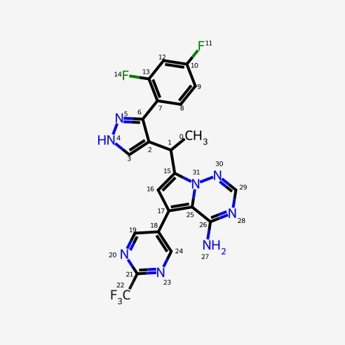 CC(c1c[nH]nc1-c1ccc(F)cc1F)c1cc(-c2cnc(C(F)(F)F)nc2)c2c(N)ncnn12